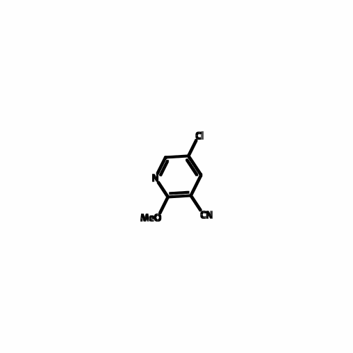 COc1ncc(Cl)cc1C#N